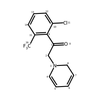 O=C(CN1C=CC=CC1)c1c(Cl)cccc1C(F)(F)F